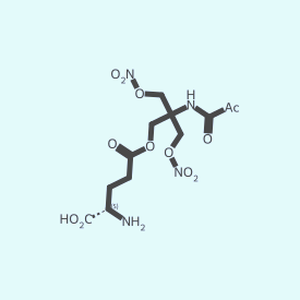 CC(=O)C(=O)NC(COC(=O)CC[C@H](N)C(=O)O)(CO[N+](=O)[O-])CO[N+](=O)[O-]